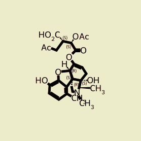 CC(=O)C[C@H](C(=O)O)[C@H](OC(C)=O)C(=O)OC1=CC[C@@]2(O)[C@@H](C)N(C)CC[C@@]23c2c(C)ccc(O)c2O[C@@H]13